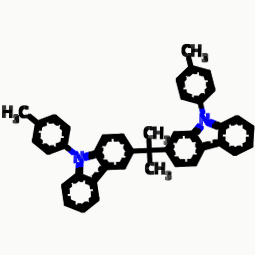 Cc1ccc(-n2c3ccccc3c3cc(C(C)(C)c4ccc5c6ccccc6n(-c6ccc(C)cc6)c5c4)ccc32)cc1